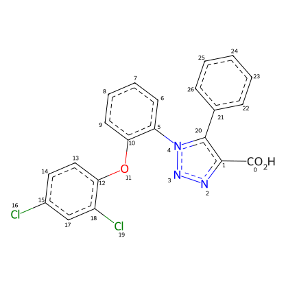 O=C(O)c1nnn(-c2ccccc2Oc2ccc(Cl)cc2Cl)c1-c1ccccc1